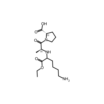 CCOC(=O)C(CCCCN)N[C@@H](C)C(=O)N1CCC[C@H]1C(=O)O